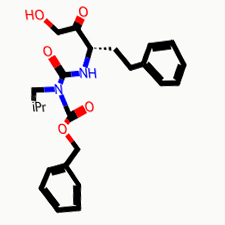 CC(C)CN(C(=O)N[C@@H](CCc1ccccc1)C(=O)CO)C(=O)OCc1ccccc1